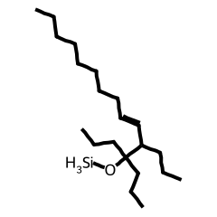 CCCCCCCCC=CC(CCC)C(CCC)(CCC)O[SiH3]